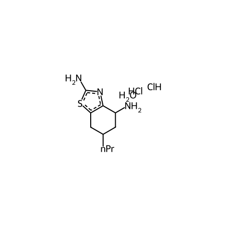 CCCC1Cc2sc(N)nc2C(N)C1.Cl.Cl.O